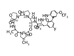 C[C@H]1C[C@H]2C(=O)O[C@@H](C)[C@H](NC(=O)[C@H](Cc3cc(F)cc(F)c3)NC(=O)Nc3ccc(OC(F)(F)F)cc3)C(O)N3CCC[C@H]3C(=O)N3CCOC[C@H]3C(=O)N[C@@H](C)C(=O)N2C1